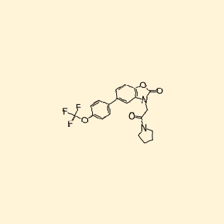 O=C(Cn1c(=O)oc2ccc(-c3ccc(OC(F)(F)F)cc3)cc21)N1CCCC1